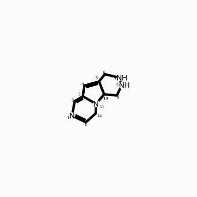 C1=NC=C2C=C3CNNCC3N2C1